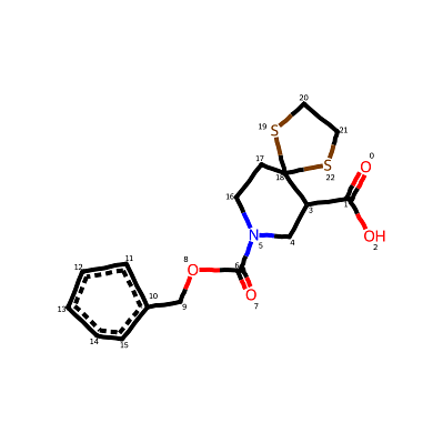 O=C(O)C1CN(C(=O)OCc2ccccc2)CCC12SCCS2